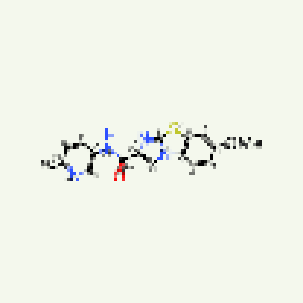 COc1ccc2c(c1)sc1nc(C(=O)Nc3ccc(C)nc3)cn12